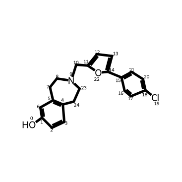 Oc1ccc2c(c1)CCN(Cc1ccc(-c3ccc(Cl)cc3)o1)CC2